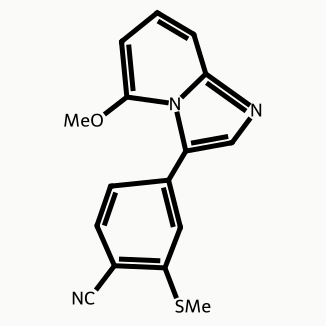 COc1cccc2ncc(-c3ccc(C#N)c(SC)c3)n12